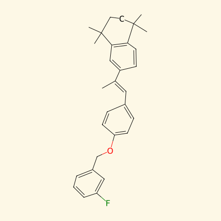 C/C(=C\c1ccc(OCc2cccc(F)c2)cc1)c1ccc2c(c1)C(C)(C)CCC2(C)C